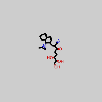 CC1CN1c1c(/C=C(\C#N)C(=O)CCC(O)C(O)CO)ccc2ccccc12